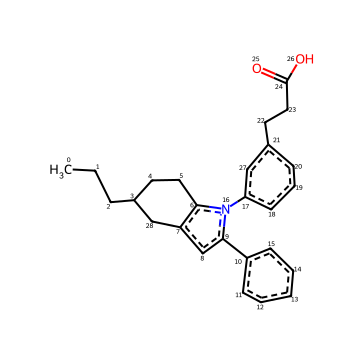 CCCC1CCc2c(cc(-c3ccccc3)n2-c2cccc(CCC(=O)O)c2)C1